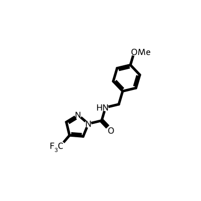 COc1ccc(CNC(=O)n2cc(C(F)(F)F)cn2)cc1